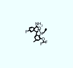 C#CCn1nc(-c2cc(F)ccc2C(N)=O)c2cc(C)cc(OC(F)F)c21